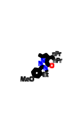 CCCC(CCC)c1cc(C)n2nc(-c3ccc(OC)cc3CC)n(C)c(=O)c12